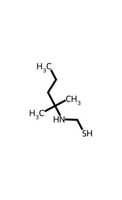 CCCC(C)(C)NCS